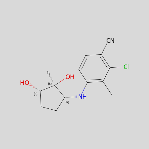 Cc1c(N[C@@H]2CC[C@H](O)[C@@]2(C)O)ccc(C#N)c1Cl